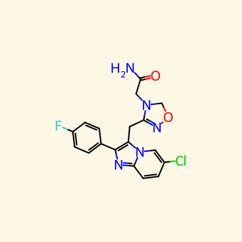 NC(=O)CN1CON=C1Cc1c(-c2ccc(F)cc2)nc2ccc(Cl)cn12